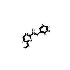 CCc1ccnc(NCc2ccccc2)n1